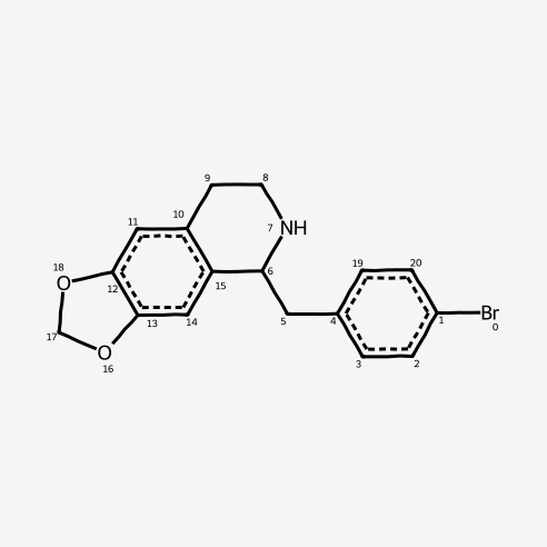 Brc1ccc(CC2NCCc3cc4c(cc32)OCO4)cc1